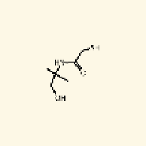 CC(C)(CO)NC(=O)CS